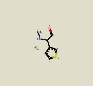 CNC(C=O)c1ccsc1.Cl